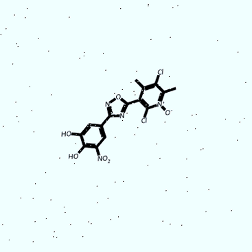 Cc1c(Cl)c(C)[n+]([O-])c(Cl)c1-c1nc(-c2cc(O)c(O)c([N+](=O)[O-])c2)no1